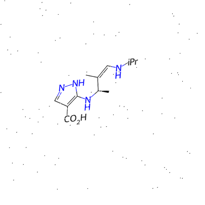 C/C(=C/NC(C)C)[C@@H](C)Nc1[nH]ncc1C(=O)O